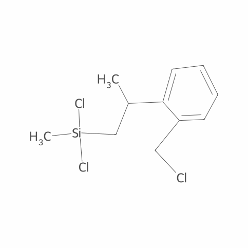 CC(C[Si](C)(Cl)Cl)c1ccccc1CCl